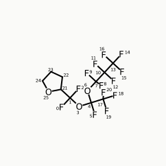 FC(F)(OC(F)(OC(F)(F)C(F)(F)C(F)(F)F)C(F)(F)F)C1CCCO1